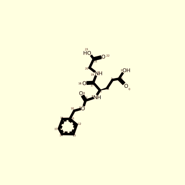 O=C(O)CC[C@@H](NC(=O)OCc1ccccc1)C(=O)NCC(=O)O